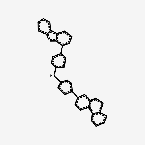 c1ccc2c(c1)ccc1cc(-c3ccc(Nc4ccc(-c5cccc6c5oc5ccccc56)cc4)cc3)ccc12